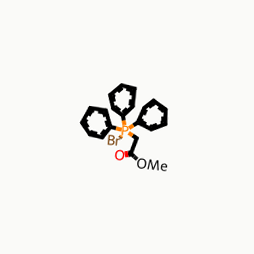 COC(=O)CP(Br)(c1ccccc1)(c1ccccc1)c1ccccc1